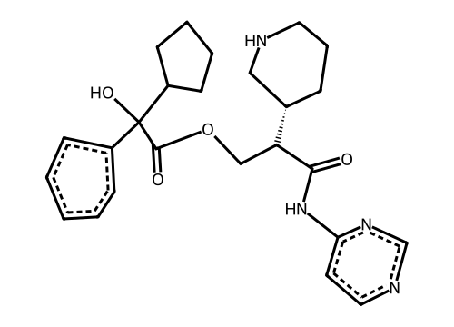 O=C(Nc1ccncn1)C(COC(=O)C(O)(c1ccccc1)C1CCCC1)[C@H]1CCCNC1